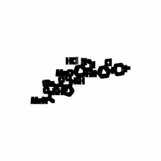 CNC(C)C(=O)NC(C(=O)N1CCCC1C(=O)Nc1cc2c(Nc3ccc(N4CCN(C)CC4)c(Cl)c3)ncnc2cc1OC)C(C)(C)C.Cl